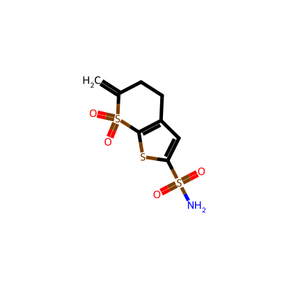 C=C1CCc2cc(S(N)(=O)=O)sc2S1(=O)=O